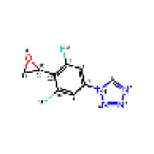 Fc1cc(-n2cnnn2)cc(F)c1[C@H]1CO1